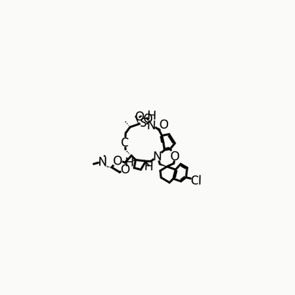 C[C@@H]1[C@@H](C)CCC[C@@H]([C@@H]2OC[C@H](CN(C)C)O2)[C@@H]2CC[C@H]2CN2C[C@@]3(CCCc4cc(Cl)ccc43)COc3ccc(cc32)C(=O)NS1(=O)=O